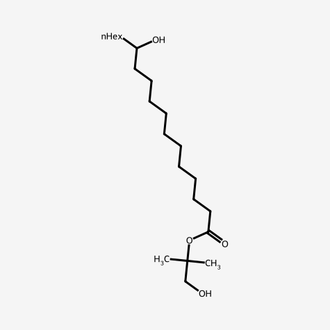 CCCCCCC(O)CCCCCCCCCCC(=O)OC(C)(C)CO